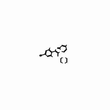 Cc1ccn2c(C[C@H]3CNCCO3)c(-c3c(C)cc(C#N)cc3F)nc2c1